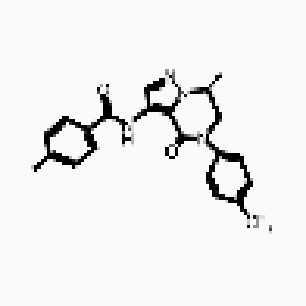 Cc1ccc(C(=O)Nc2cnn3c2C(=O)N(c2ccc(C(F)(F)F)cc2)C[C@@H]3C)cc1